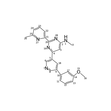 CNc1cc(-c2cncc(-c3cccc(OC)c3)c2)nc(-c2cccc(C)n2)n1